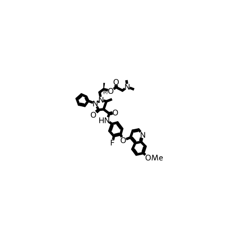 COc1ccc2c(Oc3ccc(NC(=O)C4C(=O)N(c5ccccc5)N(C[C@@H](C)OC(=O)CN(C)C)C4C)cc3F)ccnc2c1